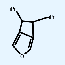 CC(C)C1c2cocc2C1C(C)C